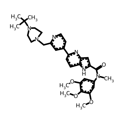 COc1cc(N(C)C(=O)c2cc3nc(-c4ccnc(CN5CCN(C(C)(C)C)CC5)c4)ccc3[nH]2)cc(OC)c1OC